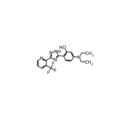 CCN(CC)c1ccc(-c2nc(-c3ncccc3C(F)(F)F)n[nH]2)c(O)c1